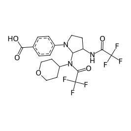 O=C(O)c1ccc(N2CCC(NC(=O)C(F)(F)F)C2N(C(=O)C(F)(F)F)C2CCOCC2)cc1